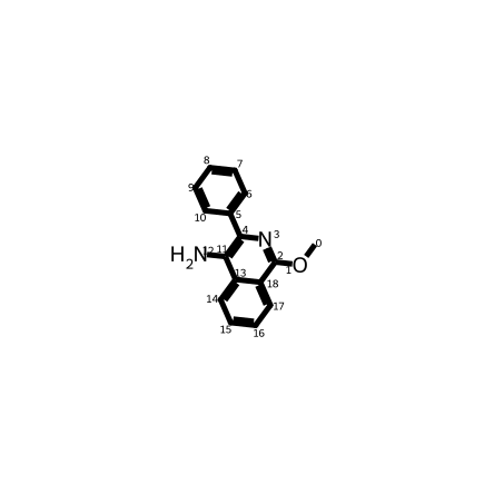 COc1nc(-c2ccccc2)c(N)c2ccccc12